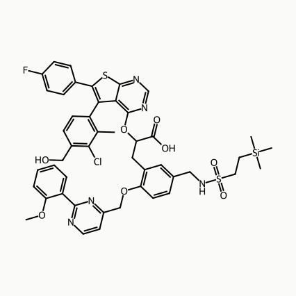 COc1ccccc1-c1nccc(COc2ccc(CNS(=O)(=O)CC[Si](C)(C)C)cc2CC(Oc2ncnc3sc(-c4ccc(F)cc4)c(-c4ccc(CO)c(Cl)c4C)c23)C(=O)O)n1